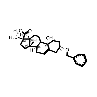 CC(=O)[C@@]1(C)CC[C@H]2[C@@H]3CC=C4C[C@@H](OCc5ccccc5)CC[C@]4(C)C3CC[C@@]21C